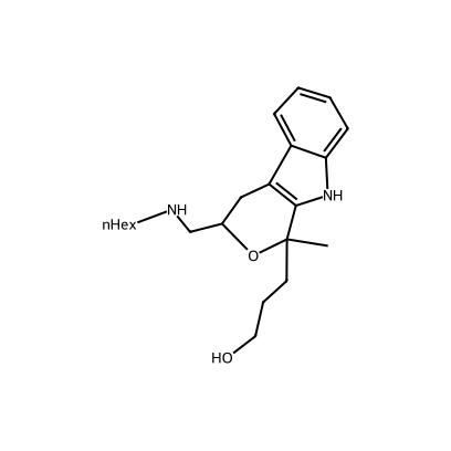 CCCCCCNCC1Cc2c([nH]c3ccccc23)C(C)(CCCO)O1